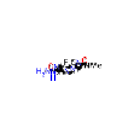 CNC(=O)c1ccc(N2CCN(Cc3ccnc(NC(N)=O)c3)CC2)c(C(F)(F)F)n1